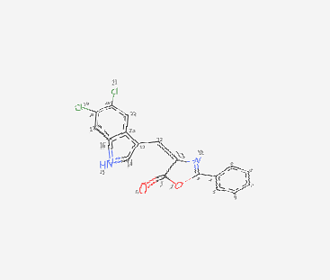 O=C1OC(c2ccccc2)=NC1=Cc1c[nH]c2cc(Cl)c(Cl)cc12